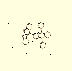 c1ccc(-c2c3ccccc3c(-c3ccccc3)c3cc(-c4c5ccccc5nc5sc6ccccc6c45)ccc23)cc1